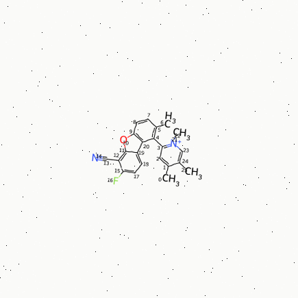 Cc1cc(-c2c(C)ccc3oc4c(C#N)c(F)ccc4c23)[n+](C)cc1C